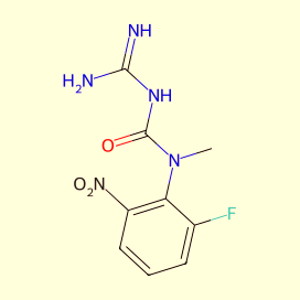 CN(C(=O)NC(=N)N)c1c(F)cccc1[N+](=O)[O-]